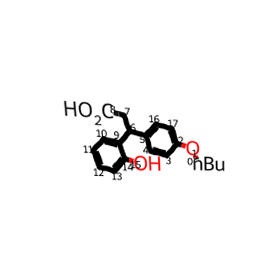 CCCCOc1ccc(C(CC(=O)O)c2ccccc2O)cc1